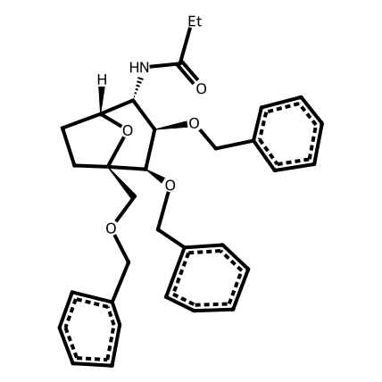 CCC(=O)N[C@@H]1[C@@H](OCc2ccccc2)[C@@H](OCc2ccccc2)[C@]2(COCc3ccccc3)CC[C@H]1O2